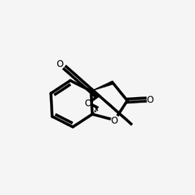 O=C1C[C@]23C=CC=C[C@]2(COC3=O)O1